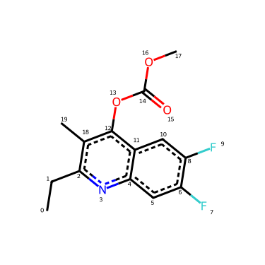 CCc1nc2cc(F)c(F)cc2c(OC(=O)OC)c1C